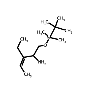 CC=C(CC)C(N)CO[Si](C)(C)C(C)(C)C